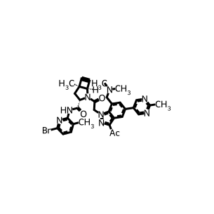 CC(=O)c1nn(CC(=O)N2[C@H](C(=O)Nc3nc(Br)ccc3C)C[C@@]3(C)C#C[C@@H]23)c2c(CN(C)C)cc(-c3cnc(C)nc3)cc12